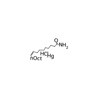 CCCCCCCC/C=C\CCCCCCCC(N)=O.Cl.[Hg]